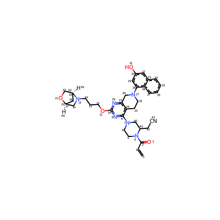 C=CC(=O)N1CCN(c2nc(OCCCN3C[C@@H]4C[C@H]3CO4)nc3c2CCN(c2cc(O)cc4ccccc24)C3)CC1CC#N